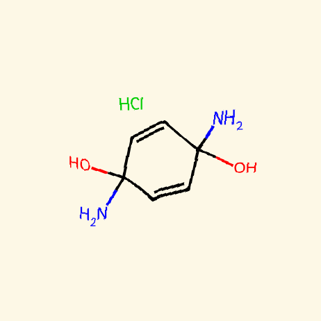 Cl.NC1(O)C=CC(N)(O)C=C1